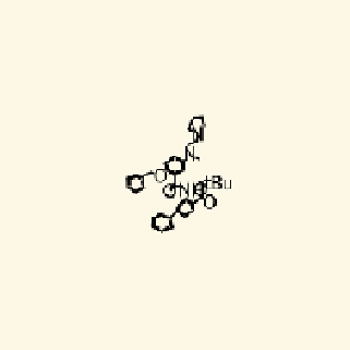 CN(CCN1CCCC1)c1ccc(OCc2ccccc2)c(C(=O)Nc2cc(-c3ccccc3)ccc2C(=O)OC(C)(C)C)c1